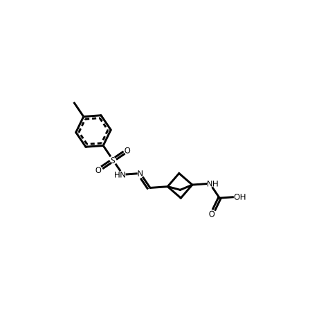 Cc1ccc(S(=O)(=O)NN=CC23CC(NC(=O)O)(C2)C3)cc1